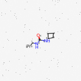 CC(C)CNC(=O)NC1CCC1